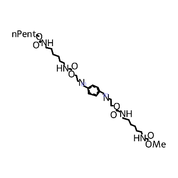 CCCCCOC(=O)NCCCCCCNC(=O)OCC/N=C/c1ccc(/C=N/CCOC(=O)NCCCCCCNC(=O)OC)cc1